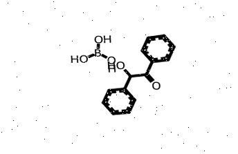 O=C(c1ccccc1)C(O)c1ccccc1.OB(O)O